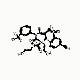 CC1=C(C#N)[C@@H](c2ccc(C#N)cc2S(C)(=O)=O)[N+](CCO)(C(=O)N(N)CCO)C(=O)N1c1cccc(C(F)(F)F)c1